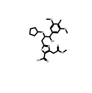 COC(=O)Cc1nc(CC(OC2CCCC2)C(O)c2cc(OC)c(C)c(OC)c2)sc1C(=O)O